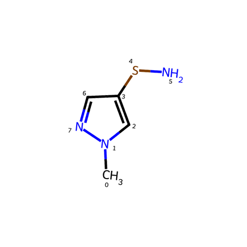 Cn1cc(SN)cn1